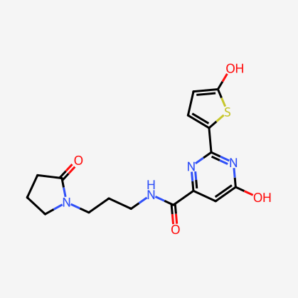 O=C(NCCCN1CCCC1=O)c1cc(O)nc(-c2ccc(O)s2)n1